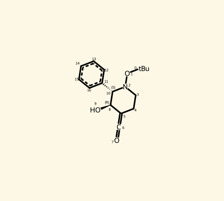 CC(C)(C)ON1CCC(=C=O)[C@@H](O)[C@@H]1c1ccccc1